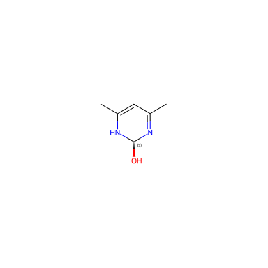 CC1=CC(C)=N[C@@H](O)N1